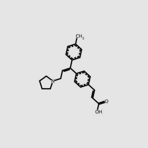 Cc1ccc(C(=CCN2CCCC2)c2ccc(C=CC(=O)O)cc2)cc1